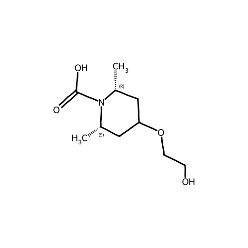 C[C@@H]1CC(OCCO)C[C@H](C)N1C(=O)O